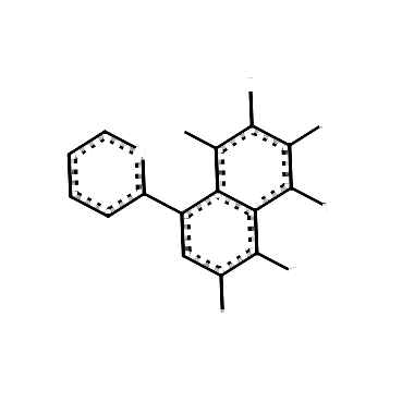 Fc1cc(-c2bcccc2)c2c(F)c(F)c(F)c(F)c2c1F